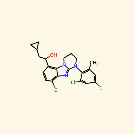 Cc1cc(Cl)cc(Cl)c1N1CCCn2c1nc1c(Cl)ccc(C(O)CC3CC3)c12